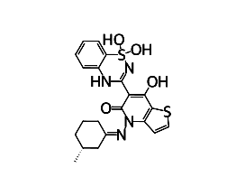 C[C@@H]1CCCC(=Nn2c(=O)c(C3=NS(O)(O)c4ccccc4N3)c(O)c3sccc32)C1